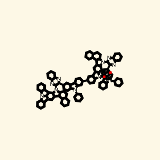 c1ccc(-n2c3ccc(-c4nc5ccccc5nc4-n4c5ccc6ccccc6c5c5cc6c7ccccc7n7c8ccccc8c(c54)c67)cc3c3ccc(-c4ccc5c(c4)c4cc6c7c8ccccc8ccc7n(-c7nc8ccccc8nc7-c7ccc8c9ccccc9n(-c9ccccc9)c8c7)c6c6c7ccccc7n5c46)cc32)cc1